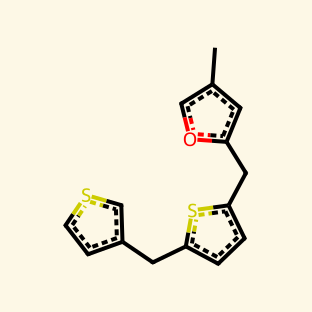 Cc1coc(Cc2ccc(Cc3ccsc3)s2)c1